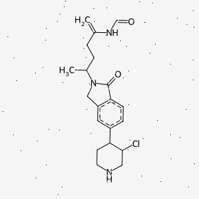 C=C(CCC(C)N1Cc2cc(C3CCNCC3Cl)ccc2C1=O)NC=O